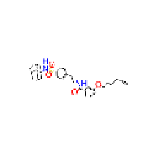 C#CCCCCOc1cccc(C(=O)NCCc2ccc(S(=O)(=O)NC34CC5CC(CC(C5)C3)C4)cc2)c1